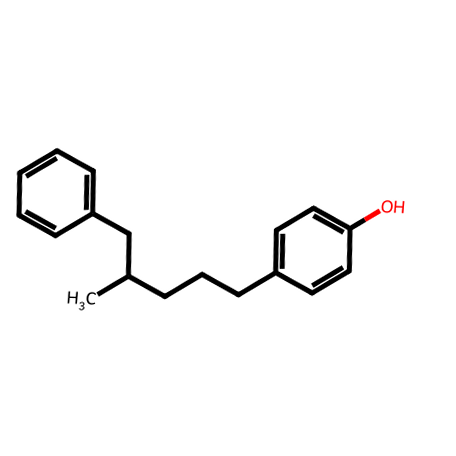 CC(CCCc1ccc(O)cc1)Cc1ccccc1